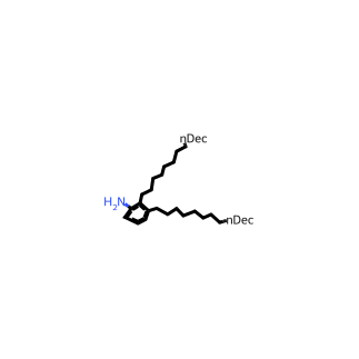 CCCCCCCCCCCCCCCCCCc1cccc(N)c1CCCCCCCCCCCCCCCCCC